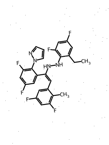 CCc1cc(F)cc(F)c1NN/C(=C/c1cc(F)cc(F)c1C)c1cc(F)cc(F)c1-n1cccn1